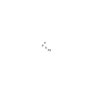 [P].[Pd].[Ti].[V]